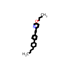 CCCCOc1ccc(C#Cc2ccc(C3CCC(CCCC)CC3)cc2)nc1